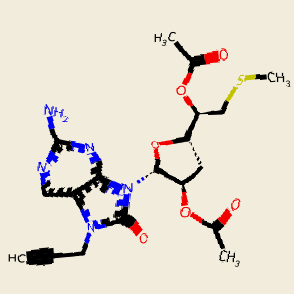 C#CCn1c(=O)n([C@@H]2O[C@H]([C@H](CSC)OC(C)=O)C[C@H]2OC(C)=O)c2nc(N)ncc21